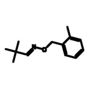 Cc1ccccc1CON=CC(C)(C)C